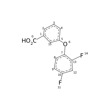 O=C(O)c1cccc(Oc2ccc(F)cc2F)c1